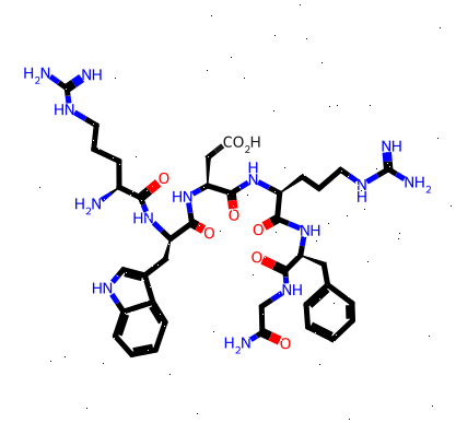 N=C(N)NCCC[C@H](NC(=O)[C@H](CC(=O)O)NC(=O)[C@@H](Cc1c[nH]c2ccccc12)NC(=O)[C@@H](N)CCCNC(=N)N)C(=O)N[C@@H](Cc1ccccc1)C(=O)NCC(N)=O